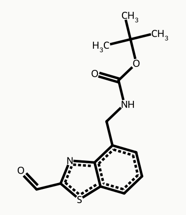 CC(C)(C)OC(=O)NCc1cccc2sc(C=O)nc12